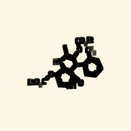 CCOC(=O)OC1=C(C)Nc2c(OC(=O)OCC)c[nH]c(=O)c2C1c1ccccc1C(F)(F)F